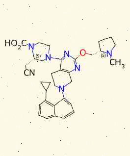 CN1CCC[C@H]1COc1nc2c(c(N3CCN(C(=O)O)[C@@H](CC#N)C3)n1)CCN(c1cccc3cccc(C4CC4)c13)C2